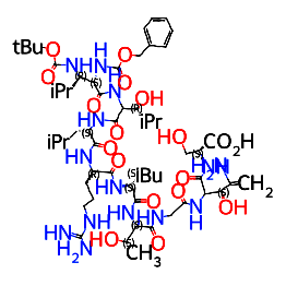 C=C(N)[C@@H](O)C(NC(=O)CNC(=O)[C@@H](NC(=O)[C@@H](NC(=O)[C@@H](CCCNC(=N)N)NC(=O)[C@H](CC(C)C)NC(=O)C(NC(=O)[C@@H](NC(=O)OCc1ccccc1)[C@H](NC(=O)OC(C)(C)C)C(C)C)[C@H](O)C(C)C)[C@@H](C)CC)[C@H](C)O)C(=O)N[C@@H](CO)C(=O)O